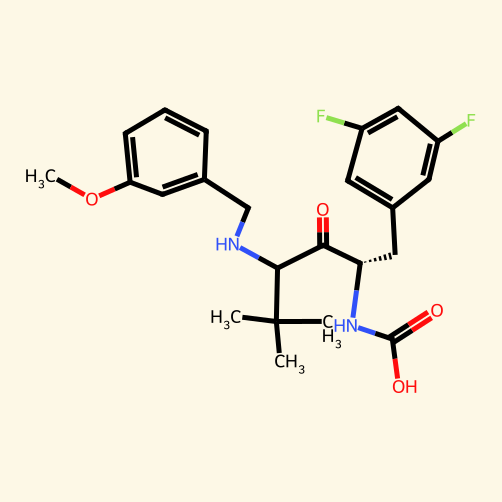 COc1cccc(CNC(C(=O)[C@H](Cc2cc(F)cc(F)c2)NC(=O)O)C(C)(C)C)c1